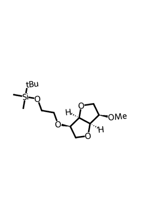 CO[C@@H]1CO[C@H]2[C@@H]1OC[C@H]2OCCO[Si](C)(C)C(C)(C)C